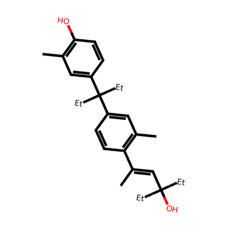 CCC(O)(C=C(C)c1ccc(C(CC)(CC)c2ccc(O)c(C)c2)cc1C)CC